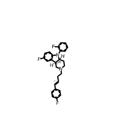 Fc1ccc(/C=C/CCN2CC[C@@H]3[C@@H](C2)c2cc(F)ccc2N3c2ccccc2F)cc1